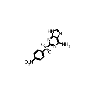 Nc1nc(S(=O)(=O)c2ccc([N+](=O)[O-])cc2)nc2[nH]cnc12